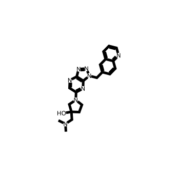 CN(C)CC1(O)CCN(c2cnc3nnn(Cc4ccc5ncccc5c4)c3n2)C1